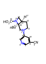 CCCC[C@@]12CN(c3cncc(C#N)c3)CC[C@@H]1CN2C(=O)O